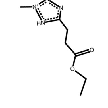 CCOC(=O)CCc1nn[n+](C)[nH]1